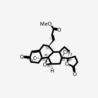 COC(=O)/C=C/[C@@H]1CC2=CC(=O)CC[C@]2(C)[C@@]23O[C@@H]2C[C@@]2(C)C(CC[C@@]24CCC(=O)O4)C13